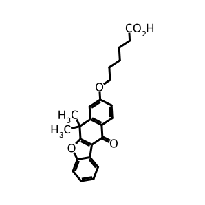 CC1(C)c2cc(OCCCCCC(=O)O)ccc2C(=O)c2c1oc1ccccc21